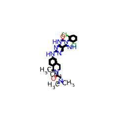 CN(C)CC(=O)N1CCc2cc(Nc3ncc4c(=N)n(-c5c(Cl)cccc5Cl)c(=O)[nH]c4n3)ccc2C1(C)C